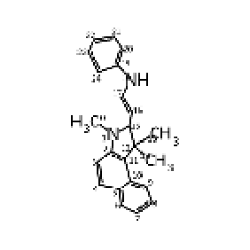 CN1c2ccc3ccccc3c2C(C)(C)C1/C=C/Nc1ccccc1